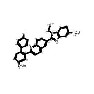 COc1ccc(-c2ccc(Cl)cc2)c(-c2ccc3cc(-c4nc5cc(C(=O)O)ccc5n4CC(C)C)ccc3n2)c1